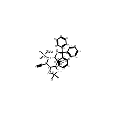 C#CC(O[Si](C)(C)C(C)(C)C)[C@@H]1OC(C)(C)O[C@@H]1C(=O)COC(c1ccccc1)(c1ccccc1)c1ccccc1